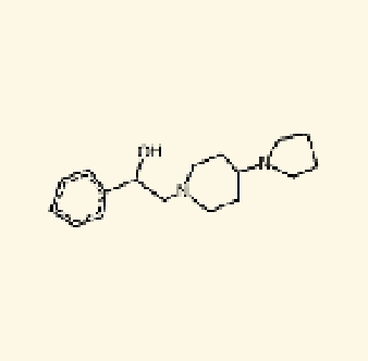 OC(CN1CCC(N2CCCC2)CC1)c1ccccc1